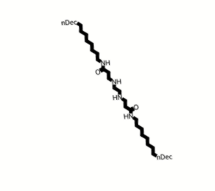 CCCCCCCCCCCCCCCCCCNC(=O)CCNCCNCCC(=O)NCCCCCCCCCCCCCCCCCC